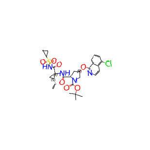 C=C[C@@H]1C[C@]1(NC(=O)C1C[C@@H](Oc2nccc3c(Cl)cccc23)CN1C(=O)OC(C)(C)C)C(=O)NS(=O)(=O)C1CC1